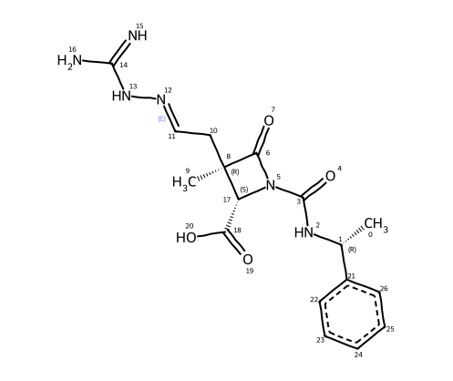 C[C@@H](NC(=O)N1C(=O)[C@](C)(C/C=N/NC(=N)N)[C@H]1C(=O)O)c1ccccc1